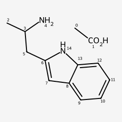 CC(=O)O.CC(N)Cc1cc2ccccc2[nH]1